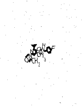 Cc1cc(N2CCOC[C@H]2C)nc(C2CC2)c1OC(=O)NCc1ccc(F)cc1